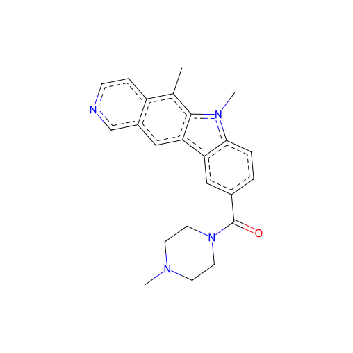 Cc1c2ccncc2cc2c3cc(C(=O)N4CCN(C)CC4)ccc3n(C)c12